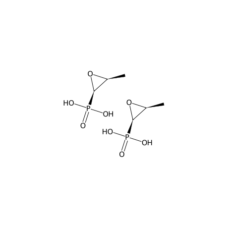 C[C@@H]1O[C@@H]1P(=O)(O)O.C[C@@H]1O[C@@H]1P(=O)(O)O